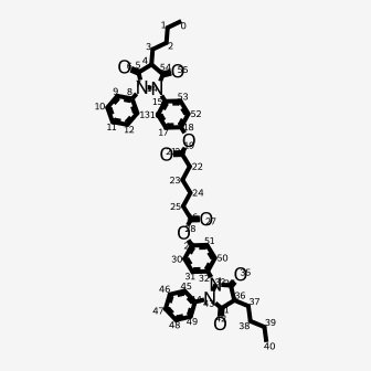 CCCCC1C(=O)N(c2ccccc2)N(c2ccc(OC(=O)CCCCC(=O)Oc3ccc(N4C(=O)C(CCCC)C(=O)N4c4ccccc4)cc3)cc2)C1=O